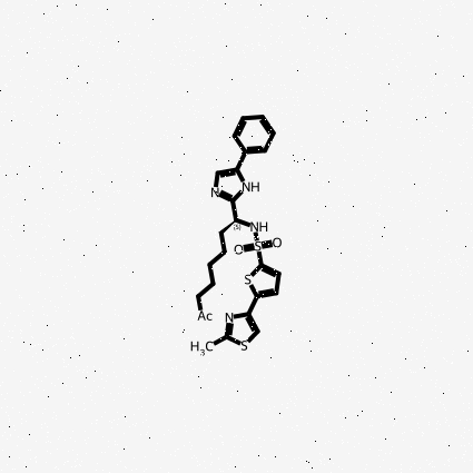 CC(=O)CCCCC[C@H](NS(=O)(=O)c1ccc(-c2csc(C)n2)s1)c1ncc(-c2ccccc2)[nH]1